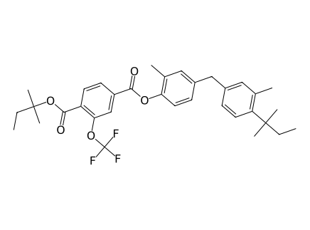 CCC(C)(C)OC(=O)c1ccc(C(=O)Oc2ccc(Cc3ccc(C(C)(C)CC)c(C)c3)cc2C)cc1OC(F)(F)F